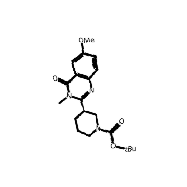 COc1ccc2nc([C@@H]3CCCN(C(=O)OC(C)(C)C)C3)n(C)c(=O)c2c1